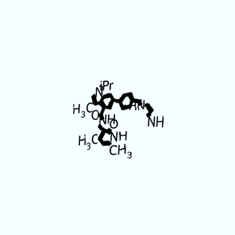 Cc1cc(C)c(CNC(=O)c2cc(-c3ccc(CN/C=C\C=N)cc3)cc3c2c(C)cn3C(C)C)c(=O)[nH]1